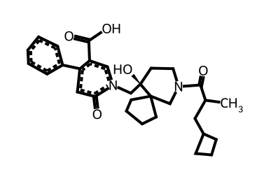 CC(CC1CCC1)C(=O)N1CC[C@@](O)(Cn2cc(C(=O)O)c(-c3ccccc3)cc2=O)C2(CCCC2)C1